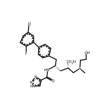 CCOC(=O)[C@@H](C[C@@H](Cc1ccc(-c2cc(Cl)ccc2F)cc1)NC(=O)c1c[nH]nn1)CN(C)CCO